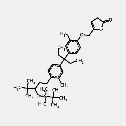 CCC(CC)(c1ccc(CCC(O[Si](C)(C)C(C)(C)C)C(C)(C)C)c(C)c1)c1ccc(OCC2=CCC(=O)O2)c(C)c1